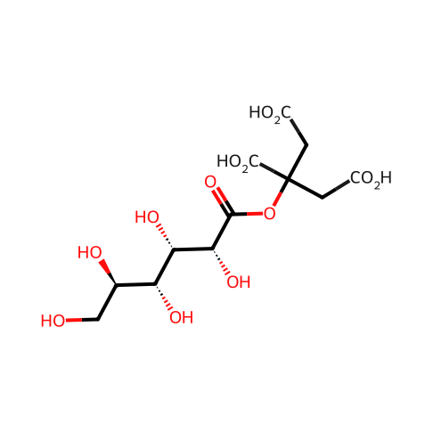 O=C(O)CC(CC(=O)O)(OC(=O)[C@H](O)[C@@H](O)[C@H](O)[C@H](O)CO)C(=O)O